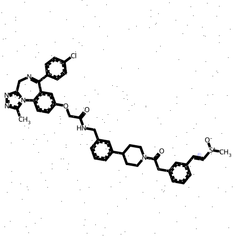 Cc1nnc2n1-c1ccc(OCC(=O)NCc3cccc(C4CCN(C(=O)Cc5cccc(/C=C/[S+](C)[O-])c5)CC4)c3)cc1C(c1ccc(Cl)cc1)=NC2